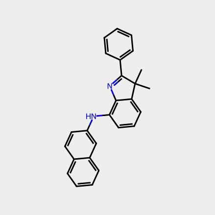 CC1(C)C(c2ccccc2)=Nc2c(Nc3ccc4ccccc4c3)cccc21